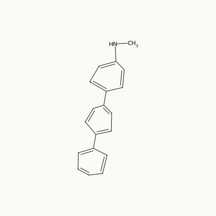 CNc1ccc(-c2ccc(-c3ccccc3)cc2)cc1